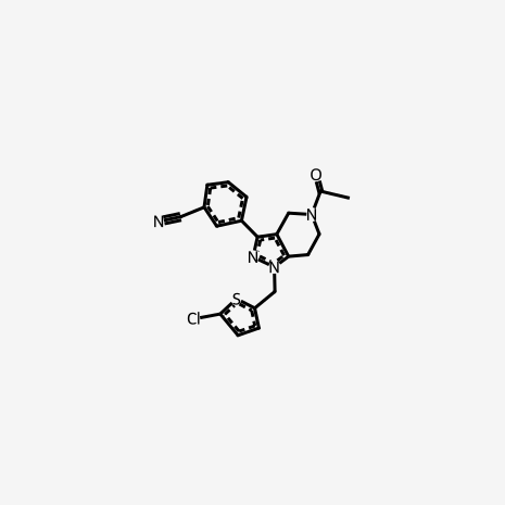 CC(=O)N1CCc2c(c(-c3cccc(C#N)c3)nn2Cc2ccc(Cl)s2)C1